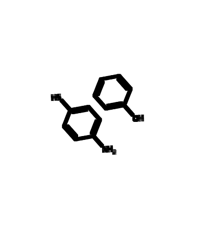 Nc1ccc(S)cc1.Oc1ccccc1